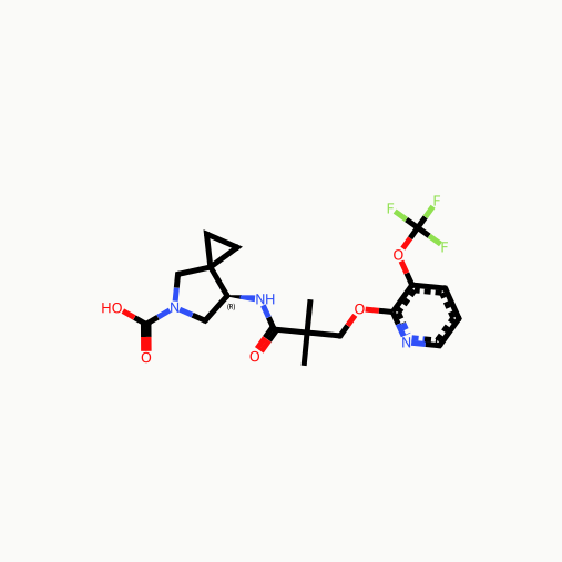 CC(C)(COc1ncccc1OC(F)(F)F)C(=O)N[C@H]1CN(C(=O)O)CC12CC2